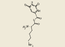 NCCCC[C@H](N)C(=O)OC(=O)c1cc(=O)[nH]c(=O)[nH]1